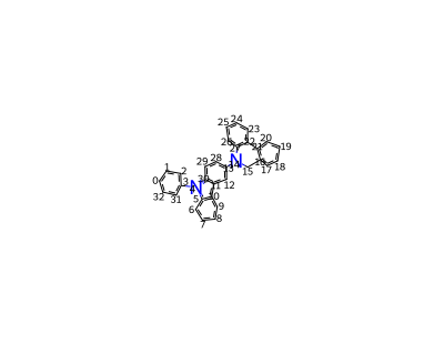 c1ccc(-n2c3ccccc3c3cc(N4Cc5ccccc5-c5ccccc54)ccc32)cc1